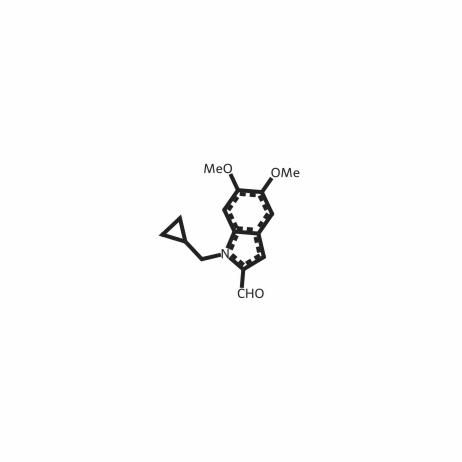 COc1cc2cc(C=O)n(CC3CC3)c2cc1OC